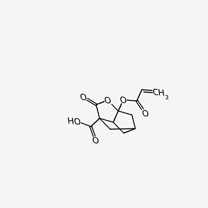 C=CC(=O)OC12CC3CC1C(C(=O)O)(C3)C(=O)O2